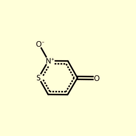 O=c1ccs[n+]([O-])c1